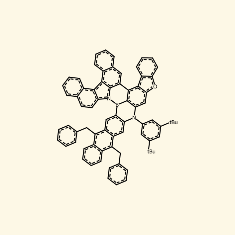 CC(C)(C)c1cc(N2c3cc4c(Cc5ccccc5)c5ccccc5c(Cc5ccccc5)c4cc3B3c4c2cc2oc5ccccc5c2c4-c2cc4ccccc4c4c5c6ccccc6ccc5n3c24)cc(C(C)(C)C)c1